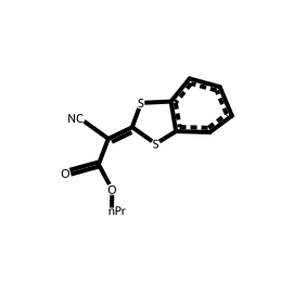 CCCOC(=O)C(C#N)=C1Sc2ccccc2S1